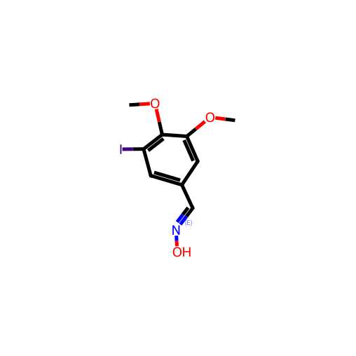 COc1cc(/C=N/O)cc(I)c1OC